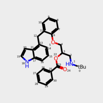 CC(C)(C)NCC(COc1ccccc1Cc1cccc2[nH]ccc12)OC(=O)c1ccccc1